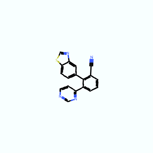 N#Cc1cccc(-c2ccncn2)c1-c1ccc2scnc2c1